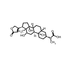 CN(C(=O)O)[C@H]1CC[C@@]2(C)[C@H](CC[C@@H]3[C@@H]2C[C@@H](O)[C@]2(C)[C@@H](C4=CC(=O)OC4)CC[C@]32O)C1